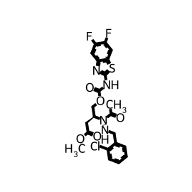 COC(=O)C[C@@H](COC(=O)Nc1nc2cc(F)c(F)cc2s1)N(NCc1ccccc1Cl)C(C)=O